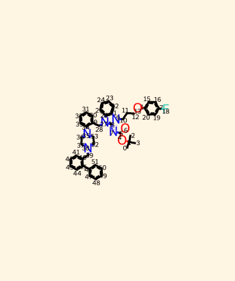 CC(C)(C)OC(=O)/N=c1\n(CCCOc2ccc(F)cc2)c2ccccc2n1Cc1ccccc1N1CCN(Cc2ccccc2-c2ccccc2)CC1